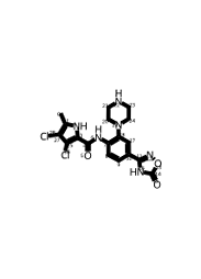 Cc1[nH]c(C(=O)Nc2ccc(-c3noc(=O)[nH]3)cc2N2CCNCC2)c(Cl)c1Cl